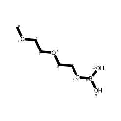 COCCOCCOB(O)O